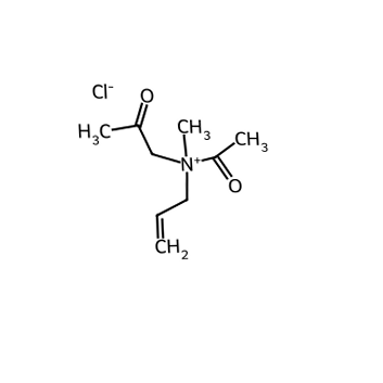 C=CC[N+](C)(CC(C)=O)C(C)=O.[Cl-]